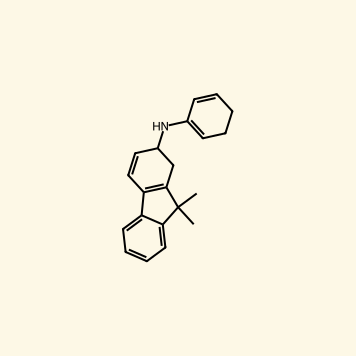 CC1(C)C2=C(C=CC(NC3=CCCC=C3)C2)c2ccccc21